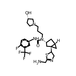 NCC1=NCC([C@@]23C[C@H](N(CCCN4CC[C@H](O)C4)C(=O)Nc4ccc(F)c(C(F)(F)F)c4)C[C@@H]2C3)S1